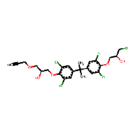 C#CCOC[C@H](O)COc1c(Cl)cc(C(C)(C)c2cc(Cl)c(OC[C@H](O)CCl)c(Cl)c2)cc1Cl